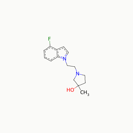 CC1(O)CCN(CCn2ccc3c(F)cccc32)C1